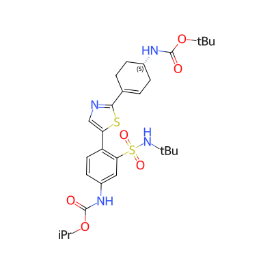 CC(C)OC(=O)Nc1ccc(-c2cnc(C3=CC[C@@H](NC(=O)OC(C)(C)C)CC3)s2)c(S(=O)(=O)NC(C)(C)C)c1